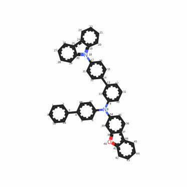 c1ccc(-c2ccc(N(c3cccc(-c4ccc(-n5c6ccccc6c6ccccc65)cc4)c3)c3ccc4c(c3)oc3ccccc34)cc2)cc1